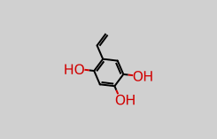 C=Cc1cc(O)c(O)cc1O